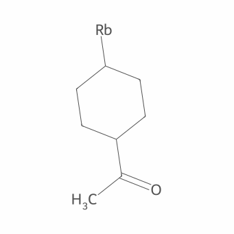 CC(=O)C1CC[CH]([Rb])CC1